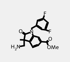 COC(=O)c1ccc2c(c1)N(Cc1cc(F)cc(F)c1)C(=O)C2(C)CN